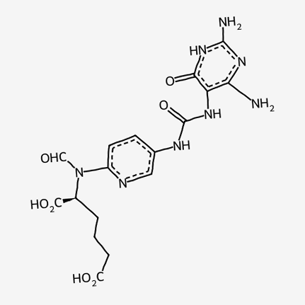 Nc1nc(N)c(NC(=O)Nc2ccc(N(C=O)[C@@H](CCCC(=O)O)C(=O)O)nc2)c(=O)[nH]1